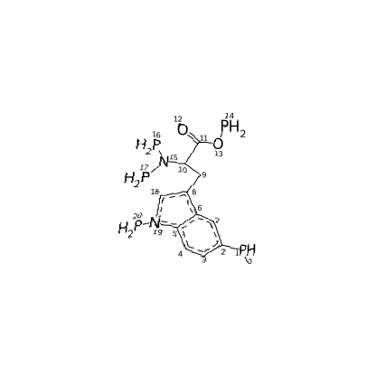 CPc1ccc2c(c1)c(CC(C(=O)OP)N(P)P)cn2P